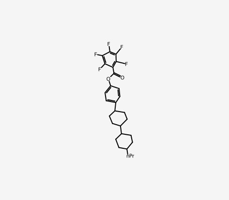 CCCC1CCC(C2CCC(c3ccc(OC(=O)c4c(F)c(F)c(F)c(F)c4F)cc3)CC2)CC1